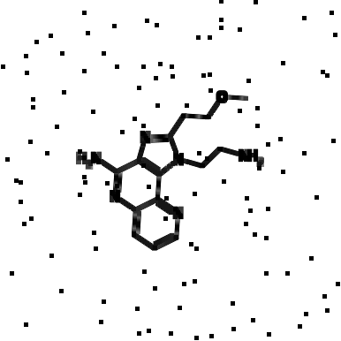 COCCc1nc2c(N)nc3cccnc3c2n1CCN